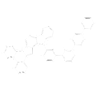 c1ccc(-c2ccc(-c3ccnc(-c4cccc(-n5c6ccccc6c6ccc7c(cc8c9ccccc9c9ccccc9n87)c65)c4)n3)cc2)cc1